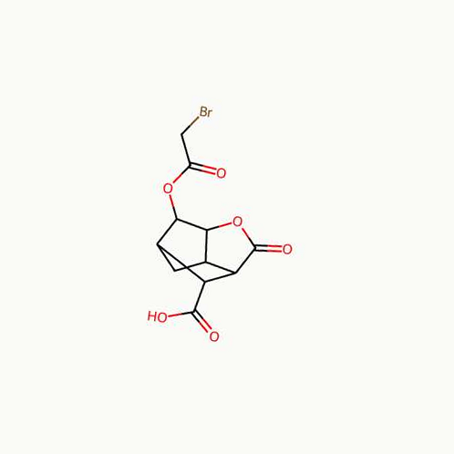 O=C(CBr)OC1C2CC3C1OC(=O)C3C2C(=O)O